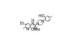 CCc1cc(NC(=O)N2CCN(c3ccc(C)cc3O)CC2)c(OC)nc1C